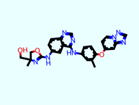 Cc1cc(Nc2ncnc3ccc(NC4=NC(C)(CO)CO4)cc23)ccc1Oc1ccn2ncnc2c1